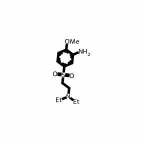 CCN(CC)CCS(=O)(=O)c1ccc(OC)c(N)c1